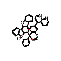 O=P1(c2ccccc2)c2ccccc2C2(c3ccccc3Sc3cc(-c4ccnc5ncccc45)ccc32)c2cc3c(cc21)oc1ccccc13